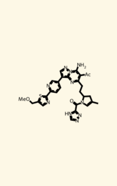 COCc1cnc(-c2ccc(-c3cnn4c(N)c(C(C)=O)c(CCC5CC(C)=CN5C(=O)c5nnc[nH]5)nc34)cn2)s1